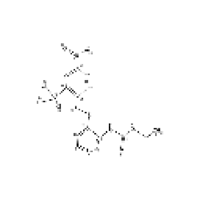 CCOC(=O)Nc1ccccc1SSc1ccc([N+](=O)[O-])cc1C(Cl)(Cl)Cl